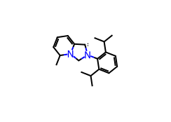 CC(C)c1cccc(C(C)C)c1N1[C]C2=CC=CC(C)N2C1